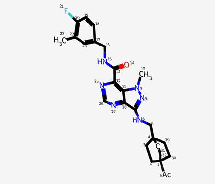 CC(=O)C12CCC(CNc3nn(C)c4c(C(=O)NCc5ccc(F)c(C)c5)ncnc34)(CC1)CC2